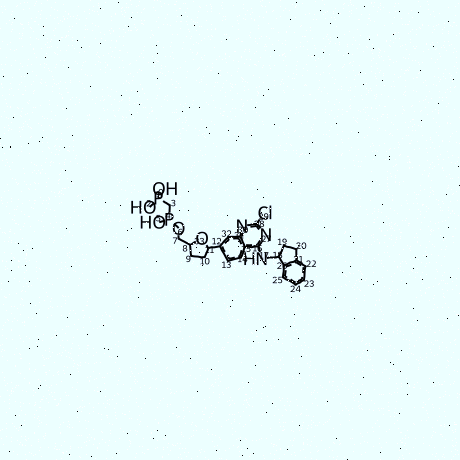 OP(O)CP(O)OCC1CCC(c2ccc3c(NC4CCc5ccccc54)nc(Cl)nc3c2)O1